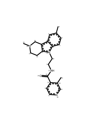 Cc1ccc2c(c1)c1c(n2CCNC(=O)c2ccncc2C)CCN(C)C1